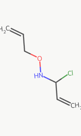 C=CCONC(Cl)C=C